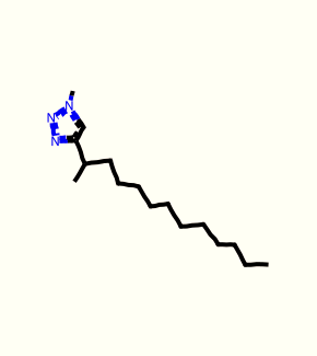 CCCCCCCCCCCC(C)c1cn(C)nn1